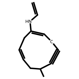 C=CN/C1=C/CC#CC(C)CC=CC1